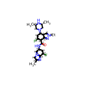 CCn1cc2c(N3C[C@@H](C)N[C@H](C)C3)cc(F)c(C(=O)Nc3cc(F)c4nc(C)cn4c3)c2n1